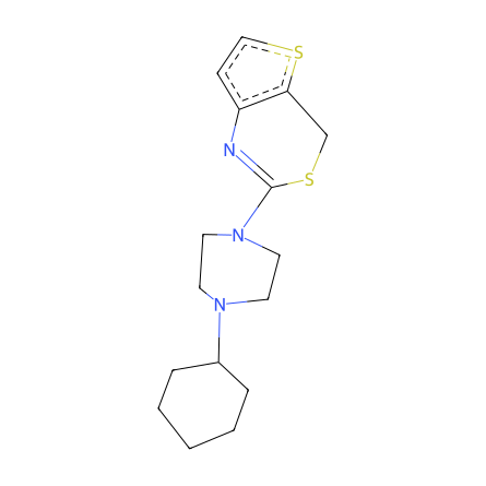 c1cc2c(s1)CSC(N1CCN(C3CCCCC3)CC1)=N2